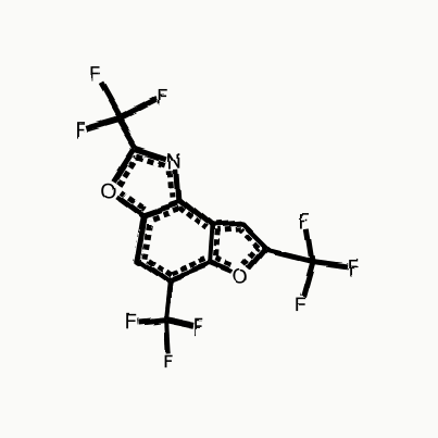 FC(F)(F)c1cc2c(o1)c(C(F)(F)F)cc1oc(C(F)(F)F)nc12